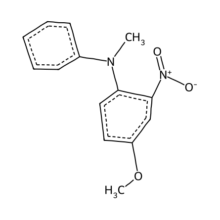 COc1ccc(N(C)c2ccccc2)c([N+](=O)[O-])c1